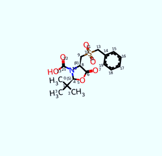 CC(C)(C)[C@@H]1OC(=O)[C@H](CS(=O)(=O)Cc2ccccc2)N1C(=O)O